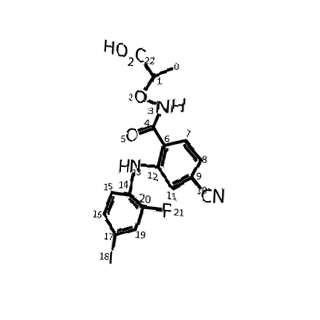 CC(ONC(=O)c1ccc(C#N)cc1Nc1ccc(I)cc1F)C(=O)O